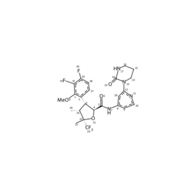 COc1c([C@@H]2[C@@H](C(=O)Nc3ccnc(N4CCCNC4=O)c3)O[C@](C)(C(F)(F)F)[C@@H]2C)ccc(F)c1F